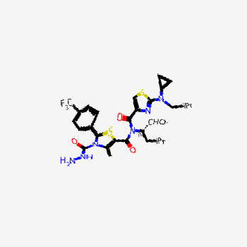 CC1=C(C(=O)N(C(=O)c2csc(N(CC(C)C)C3CC3)n2)[C@H]([C]=O)CC(C)C)SC(c2ccc(C(F)(F)F)cc2)N1C(=O)NN